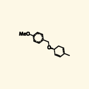 COc1ccc(CO[C@@H]2C=CC(C)=CC2)cc1